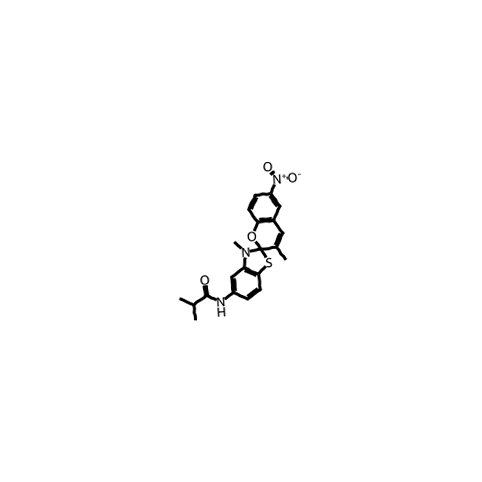 CC1=Cc2cc([N+](=O)[O-])ccc2OC12Sc1ccc(NC(=O)C(C)C)cc1N2C